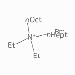 CCCCCCCC[N+](CC)(CC)CCCCCCC.[Br-]